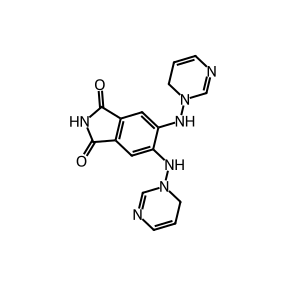 O=C1NC(=O)c2cc(NN3C=NC=CC3)c(NN3C=NC=CC3)cc21